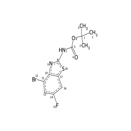 CC(C)(C)OC(=O)Nc1nc2c(Br)cc(F)cc2s1